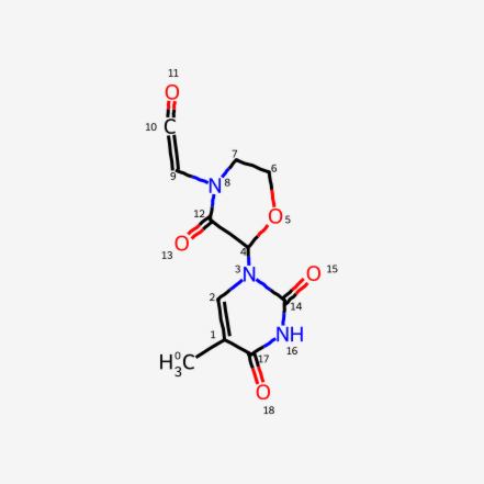 Cc1cn(C2OCCN(C=C=O)C2=O)c(=O)[nH]c1=O